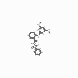 COc1cc(OC)nc(OC2CCCCC2C(=O)NS(=O)(=O)c2ccccc2)n1